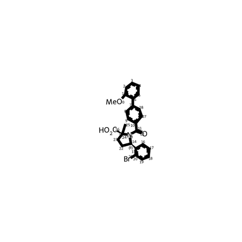 COc1ccccc1-c1ccc(C(=O)N2[C@@H](c3ccccc3Br)CC[C@@]2(C)C(=O)O)cc1